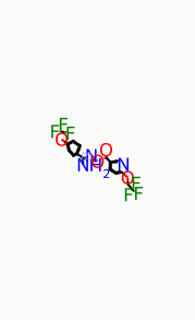 N/C(=N\OC(=O)c1ccc(OCC(F)(F)F)nc1)c1ccc(OC(F)(F)F)cc1